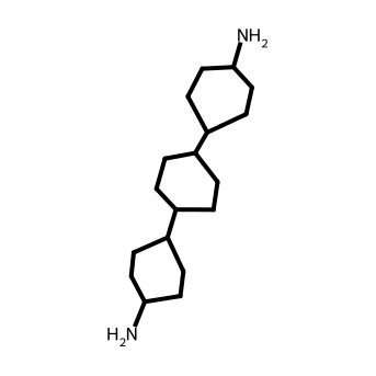 NC1CCC(C2CCC(C3CCC(N)CC3)CC2)CC1